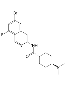 CN(C)[C@H]1CC[C@H](C(=O)Nc2cc3cc(Br)cc(F)c3cn2)CC1